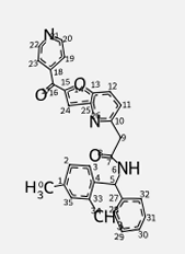 Cc1ccc(C(NC(=O)Cc2ccc3oc(C(=O)c4ccncc4)cc3n2)c2ccccc2)c(C)c1